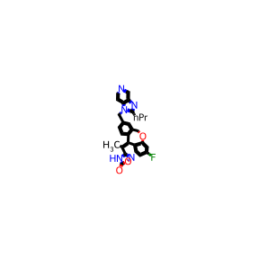 CCCc1nc2cnccc2n1Cc1ccc2c(c1)COc1cc(F)ccc1C2=C(C)c1noc(=O)[nH]1